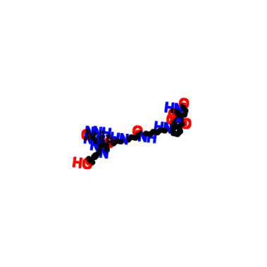 CCn1c(-c2nonc2N)nc2c(C#CC(C)(C)O)ncc(OCCCNCCCC(=O)NCCCCCCNc3cccc4c3C(=O)N(C3CCC(=O)NC3=O)C4=O)c21